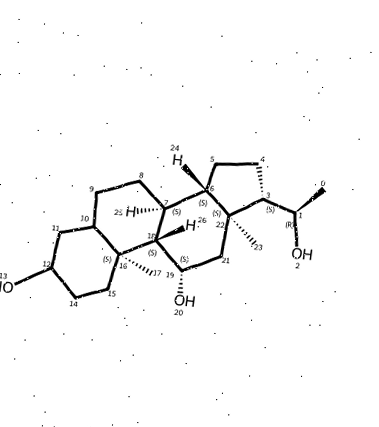 C[C@@H](O)[C@H]1CC[C@H]2[C@@H]3CCC4CC(O)CC[C@]4(C)[C@H]3[C@@H](O)C[C@]12C